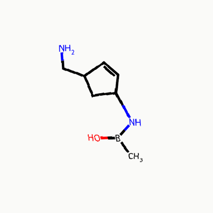 CB(O)NC1C=CC(CN)C1